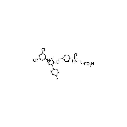 Cc1ccc(-c2cn(-c3cc(Cl)cc(Cl)c3)nc2OCc2ccc(C(=O)NCCC(=O)O)cc2)cc1